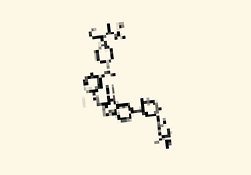 CC(c1ccnc(Nc2nc3ccc(-c4cc(OCC(F)(F)F)ncn4)cc3[nH]2)c1)N1CCN(C(=O)C(C)C(C)(F)F)CC1